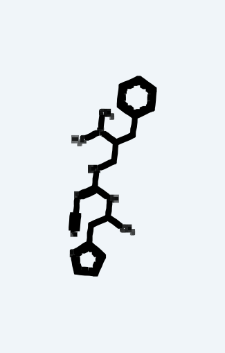 CC(Cc1cccs1)N/C(=N\C#N)NCC(Cc1ccccc1)N(C)C